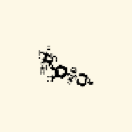 CN1CCN(S(=O)(=O)c2ccc(NC(=O)[C@@](C)(O)C(F)(F)F)c(Cl)c2)CC1